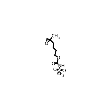 CC1(CCCCOC(=O)NS(=O)(=O)C(F)(F)F)CO1